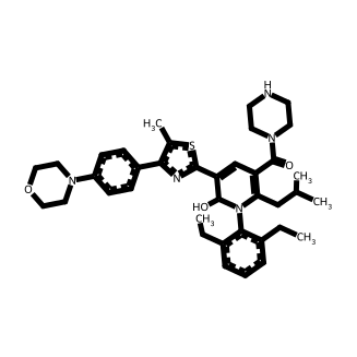 CCc1cccc(CC)c1N1C(CC(C)C)=C(C(=O)N2CCNCC2)C=C(c2nc(-c3ccc(N4CCOCC4)cc3)c(C)s2)C1O